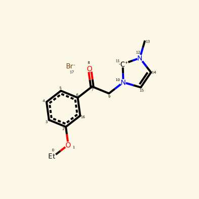 CCOc1cccc(C(=O)CN2[C+]N(C)C=C2)c1.[Br-]